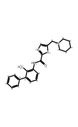 Cc1c(NC(=O)c2ncc(CN3CCCCC3)s2)cccc1-c1ccccc1